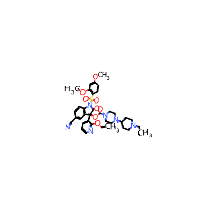 CCOc1ncccc1C1(OC(=O)N2CCN(C3CCN(CC)CC3)CC2)C(=O)N(S(=O)(=O)c2ccc(OC)cc2OC)c2ccc(C#N)cc21